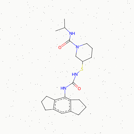 CC(C)NC(=O)N1CCCC(SNC(=O)Nc2c3c(cc4c2CCC4)CCC3)C1